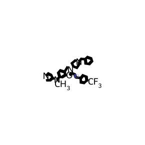 CN(c1ccncc1)c1ccc(CN(C(=O)/C=C/c2ccc(C(F)(F)F)cc2)C2CCN(Cc3ccccc3)CC2)cc1